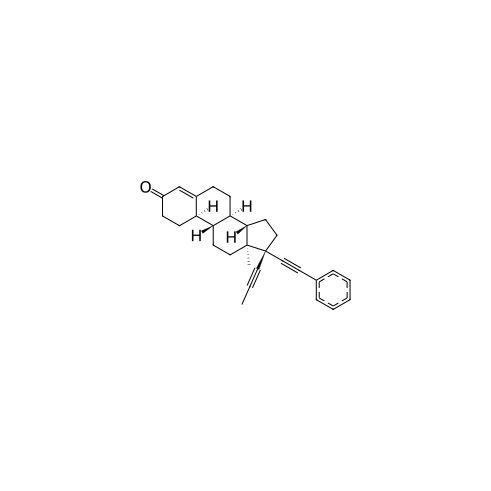 CC#C[C@]1(C#Cc2ccccc2)CC[C@H]2[C@@H]3CCC4=CC(=O)CC[C@@H]4[C@H]3CC[C@@]21C